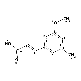 COc1cc(C)cc(/C=C/C(=O)O)c1